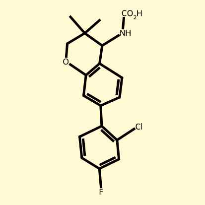 CC1(C)COc2cc(-c3ccc(F)cc3Cl)ccc2C1NC(=O)O